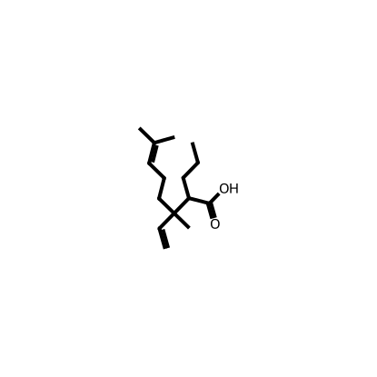 C=CC(C)(CCC=C(C)C)C(CCC)C(=O)O